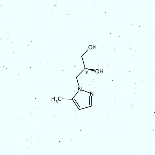 Cc1c[c]nn1C[C@H](O)CO